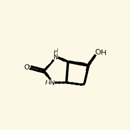 O=C1NC2CC(O)C2N1